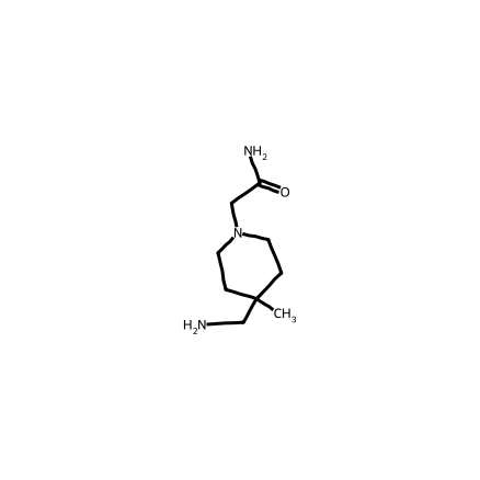 CC1(CN)CCN(CC(N)=O)CC1